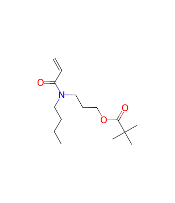 C=CC(=O)N(CCCC)CCCOC(=O)C(C)(C)C